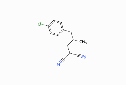 CC(Cc1ccc(Cl)cc1)CC(C#N)C#N